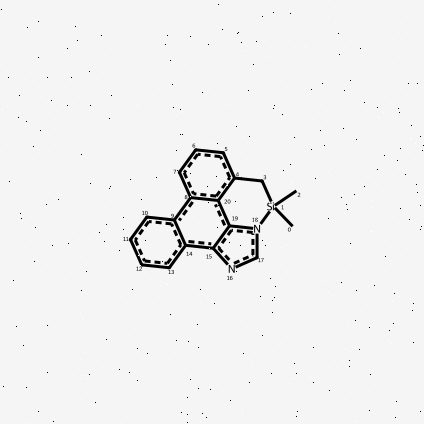 C[Si]1(C)Cc2cccc3c4ccccc4c4ncn1c4c23